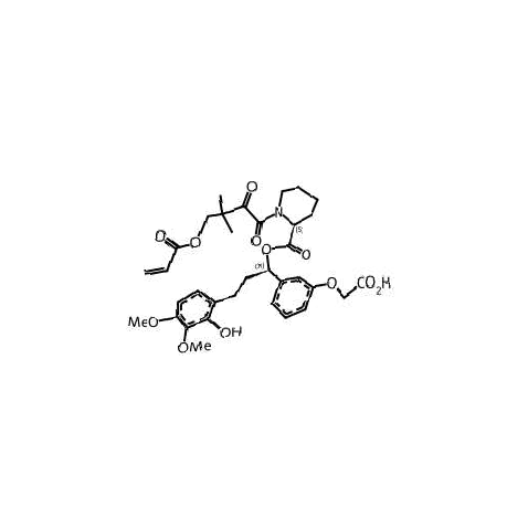 C=CC(=O)OCC(C)(C)C(=O)C(=O)N1CCCC[C@H]1C(=O)O[C@H](CCc1ccc(OC)c(OC)c1O)c1cccc(OCC(=O)O)c1